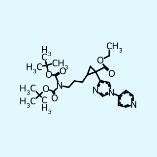 CCOC(=O)C1(c2cn(-c3ccncc3)cn2)CC1CCCN(C(=O)OC(C)(C)C)C(=O)OC(C)(C)C